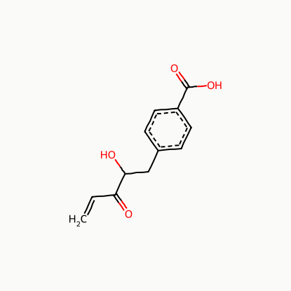 C=CC(=O)C(O)Cc1ccc(C(=O)O)cc1